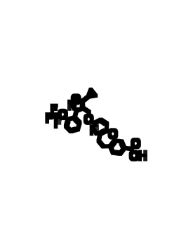 O=C(O)c1ccc2c(c1)Oc1ccc(OCc3c(-c4ccccc4OC(F)(F)F)noc3C3CC3)nc1CC2